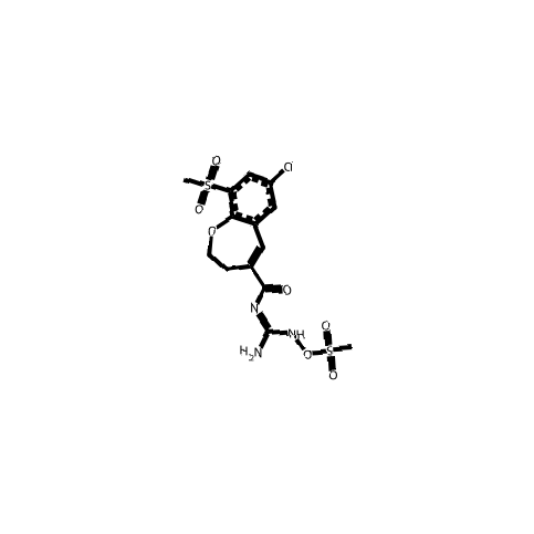 CS(=O)(=O)ONC(N)=NC(=O)C1=Cc2cc(Cl)cc(S(C)(=O)=O)c2OCC1